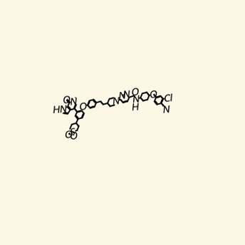 Cn1cc(-c2cc(C3CCS(=O)(=O)CC3)ccc2Oc2ccc(CCC3CCN(c4ccc(C(=O)NC5CCC(Oc6ccc(C#N)c(Cl)c6)CC5)nn4)CC3)cc2)c2cc[nH]c2c1=O